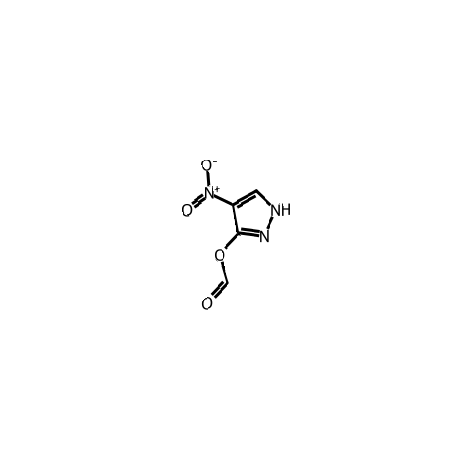 O=COc1n[nH]cc1[N+](=O)[O-]